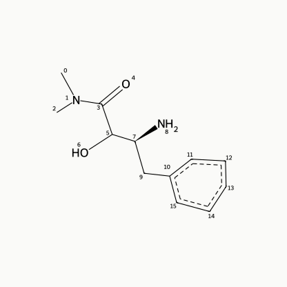 CN(C)C(=O)C(O)[C@@H](N)Cc1ccccc1